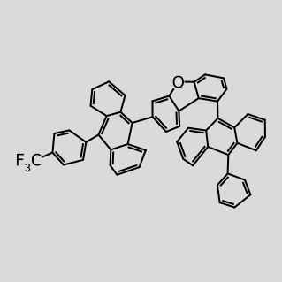 FC(F)(F)c1ccc(-c2c3ccccc3c(-c3ccc4c(c3)oc3cccc(-c5c6ccccc6c(-c6ccccc6)c6ccccc56)c34)c3ccccc23)cc1